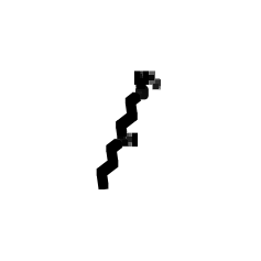 CCCCNCCCON